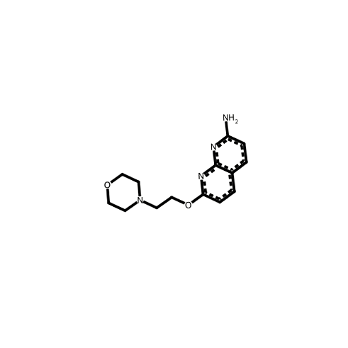 Nc1ccc2ccc(OCCN3CCOCC3)nc2n1